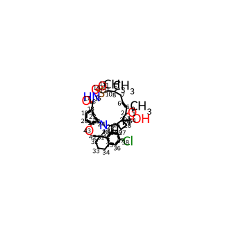 CO[C@]1(CO)/C=C/C[C@H](C)[C@@H](C)S(=O)(=O)NC(=O)c2ccc3c(c2)N(C[C@@H]2CC[C@H]21)C[C@@]1(CCCc2cc(Cl)ccc21)CO3